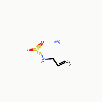 C=CCN[SH](=O)=O.N